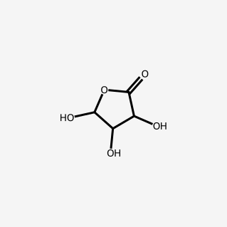 O=C1OC(O)C(O)C1O